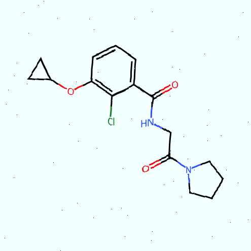 O=C(NCC(=O)N1CCCC1)c1cccc(OC2CC2)c1Cl